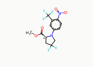 COC(=O)[C@@H]1CC(F)(F)CN1c1ccc([N+](=O)[O-])c(C(F)(F)F)c1